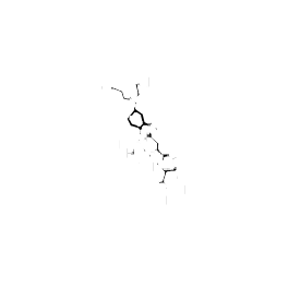 CC(C)[C@H](NC(=O)[C@@H](N)Cc1nc2cc(N(CCCl)CCCl)ccc2n1C)C(=O)O